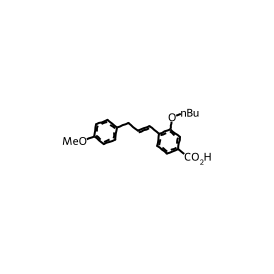 CCCCOc1cc(C(=O)O)ccc1/C=C/Cc1ccc(OC)cc1